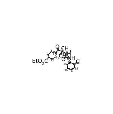 CCOC(=O)C1CCN(C(=O)C(C)(C)NC(=O)Nc2ccccc2Cl)CC1